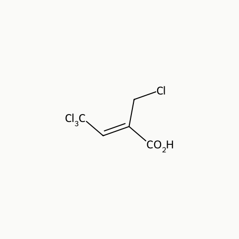 O=C(O)/C(=C/C(Cl)(Cl)Cl)CCl